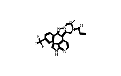 C=CC(=O)N1Cc2c(-c3ccnc4[nH]cc(C)c34)c(-c3ccc(C(F)(F)F)cc3)nn2C[C@H]1C